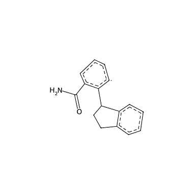 NC(=O)c1ccc[c]c1C1CCc2ccccc21